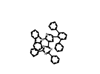 c1ccc(-c2nc(-c3ccccc3)nc(-c3cc(-c4c(-c5ccccc5)cccc4-c4ccccc4)cnc3-n3c4ccccc4c4ccccc43)n2)cc1